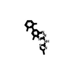 Cc1cccc(C)c1-c1cc(C)c2nc(NC3=NC(C)CS3)nnc2c1